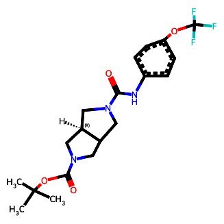 CC(C)(C)OC(=O)N1CC2CN(C(=O)Nc3ccc(OC(F)(F)F)cc3)C[C@@H]2C1